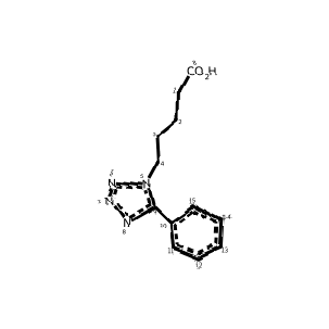 O=C(O)CCCCn1nnnc1-c1ccccc1